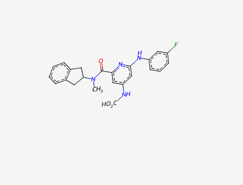 CN(C(=O)c1cc(NC(=O)O)cc(Nc2cccc(F)c2)n1)C1Cc2ccccc2C1